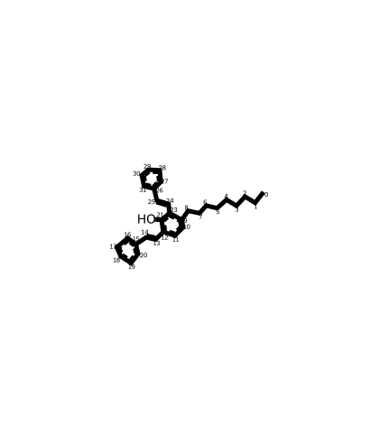 CCCCCCCCCc1ccc(C=Cc2ccccc2)c(O)c1C=Cc1ccccc1